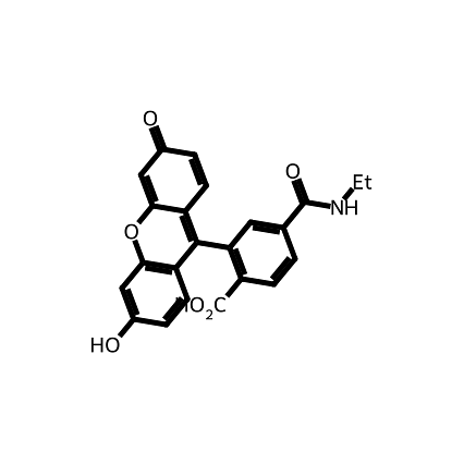 CCNC(=O)c1ccc(C(=O)O)c(-c2c3ccc(=O)cc-3oc3cc(O)ccc23)c1